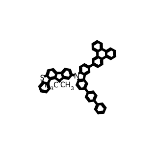 CC1(C)c2cc(-n3c4ccc(-c5ccc(-c6ccccc6)cc5)cc4c4cc(-c5ccc6c7ccccc7c7ccccc7c6c5)ccc43)ccc2-c2ccc3sc4ccccc4c3c21